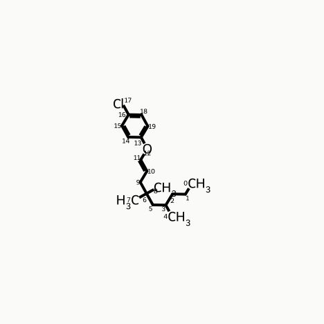 CCCC(C)CC(C)(C)CC=COc1ccc(Cl)cc1